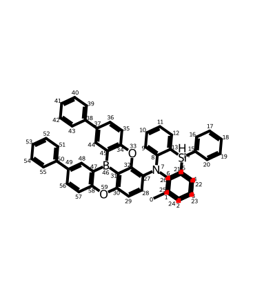 Cc1ccccc1N(c1ccccc1[SiH](c1ccccc1)c1ccccc1)c1ccc2c3c1Oc1ccc(-c4ccccc4)cc1B3c1cc(-c3ccccc3)ccc1O2